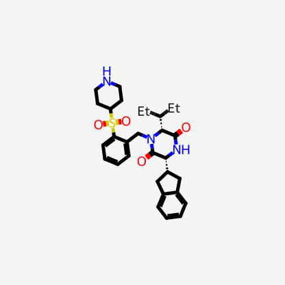 CCC(CC)[C@@H]1C(=O)N[C@H](C2Cc3ccccc3C2)C(=O)N1Cc1ccccc1S(=O)(=O)C1CCNCC1